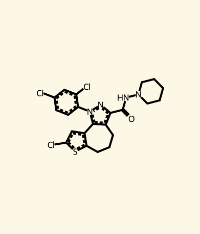 O=C(NN1CCCCC1)c1nn(-c2ccc(Cl)cc2Cl)c2c1CCCc1sc(Cl)cc1-2